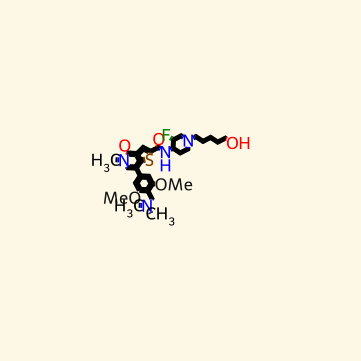 COc1cc(-c2cn(C)c(=O)c3cc(C(=O)NC4CCN(CCCCCO)CC4F)sc23)cc(OC)c1CN(C)C